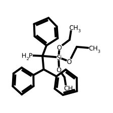 CCO[Si](OCC)(OCC)C(P)(c1ccccc1)C(c1ccccc1)c1ccccc1